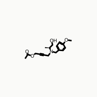 COc1ccc(CN(CC#CCOC(C)=O)[C@@H](C)CO)cc1